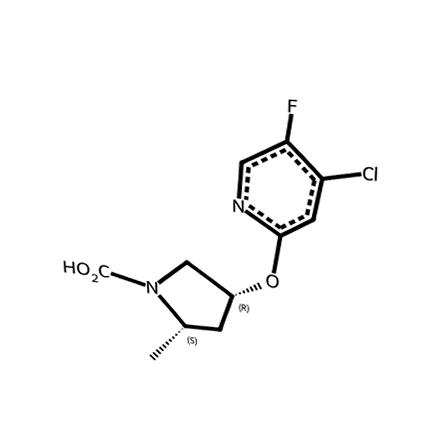 C[C@H]1C[C@@H](Oc2cc(Cl)c(F)cn2)CN1C(=O)O